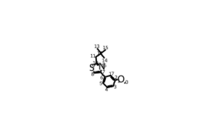 COc1cccc(-c2csc(CC(C)(C)C)n2)c1